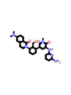 CN(C)c1ccc2c(=O)n(-c3cccc(-c4cc(Nc5cccc(N)n5)c(=O)n(C)c4)c3CO)ccc2c1